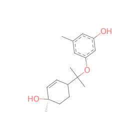 Cc1cc(O)cc(OC(C)(C)C2C=C[C@](C)(O)CC2)c1